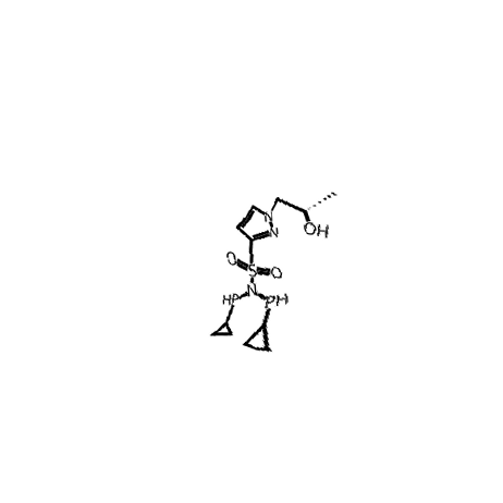 C[C@H](O)Cn1ccc(S(=O)(=O)N(PC2CC2)PC2CC2)n1